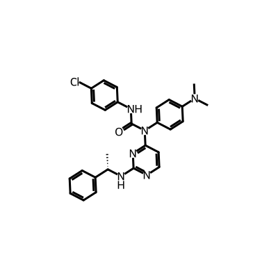 C[C@H](Nc1nccc(N(C(=O)Nc2ccc(Cl)cc2)c2ccc(N(C)C)cc2)n1)c1ccccc1